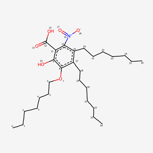 CCCCCCCOc1c(O)c(C(=O)O)c([N+](=O)[O-])c(CCCCCCC)c1CCCCCCC